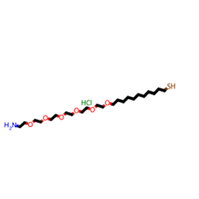 Cl.NCCOCCOCCOCCOCCOCCOCCCCCCCCCCCS